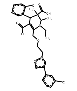 CCN1C(COCCn2cc(-c3cccc(Cl)c3)nn2)=C(C(=O)O)C(c2ccccc2Cl)C(C)(C(=O)O)C1C